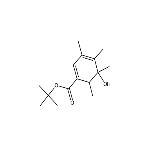 CC1=C(C)C(C)(O)C(C)C(C(=O)OC(C)(C)C)=C1